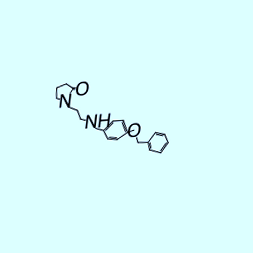 O=C1CCCN1CCCNCc1ccc(OCc2ccccc2)cc1